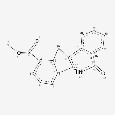 COC(=O)c1cccc2c1Cc1c-2[nH]c(=O)c2ccccc12